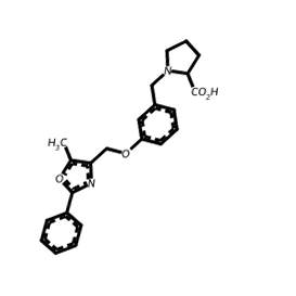 Cc1oc(-c2ccccc2)nc1COc1cccc(CN2CCCC2C(=O)O)c1